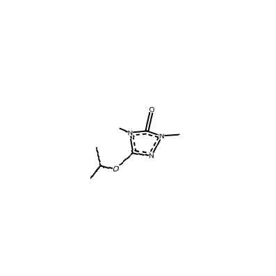 CC(C)Oc1nn(C)c(=O)n1C